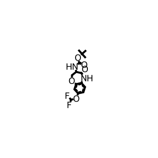 CC(C)(C)OC(=O)NC1COc2cc(OC(F)F)ccc2NC1=O